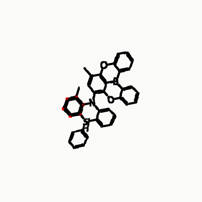 Cc1ccccc1N(c1ccccc1[SiH](c1ccccc1)c1ccccc1)c1cc(C)c2c3c1Oc1ccccc1B3c1ccccc1O2